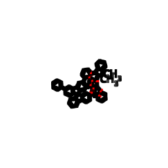 CC1(C)c2ccccc2-c2ccc(N(c3ccccc3)c3cc4c(cc3-c3ccccc3)-c3cc(-c5ccccc5)ccc3C43c4ccccc4-c4ccc(N(c5ccccc5)c5ccccc5)cc43)cc21